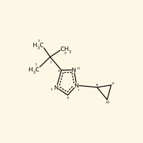 CC(C)(C)c1ncn(C2CC2)n1